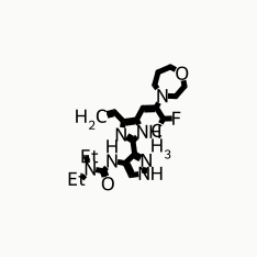 C=Cc1nc(-c2n[nH]cc2NC(=O)N(CC)CC)[nH]c1/C=C(\C(C)F)N1CCCOCC1